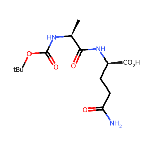 C[C@H](NC(=O)OC(C)(C)C)C(=O)N[C@H](CCC(N)=O)C(=O)O